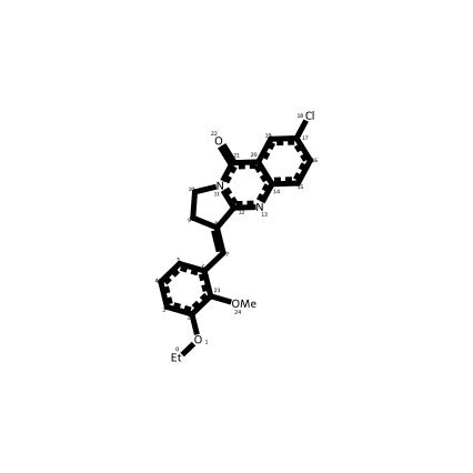 CCOc1cccc(C=C2CCn3c2nc2ccc(Cl)cc2c3=O)c1OC